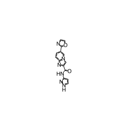 O=C(Nc1cc[nH]n1)c1cn2cc(-c3ncco3)ccc2n1